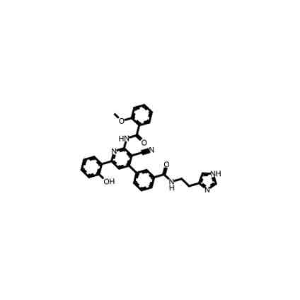 COc1ccccc1C(=O)Nc1nc(-c2ccccc2O)cc(-c2cccc(C(=O)NCCc3c[nH]cn3)c2)c1C#N